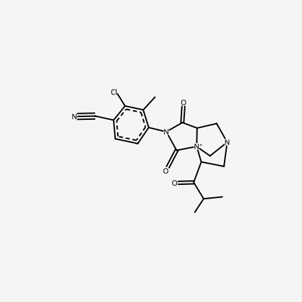 Cc1c(N2C(=O)C3CN4CC(C(=O)C(C)C)[N+]3(C4)C2=O)ccc(C#N)c1Cl